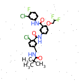 CC(C)(C)C(=O)NCc1ccc(Cl)c(C(=O)Nc2ccc(OCC(F)F)c(C(=O)Nc3ccc(F)c(Cl)c3)c2)c1